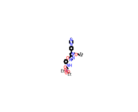 CCOP(=O)(CC(=O)Nc1cccc(Oc2ncnc3c2cc(-c2ccc(N4CCN(C)CC4)cc2)n3COCC[Si](C)(C)C)c1)OCC